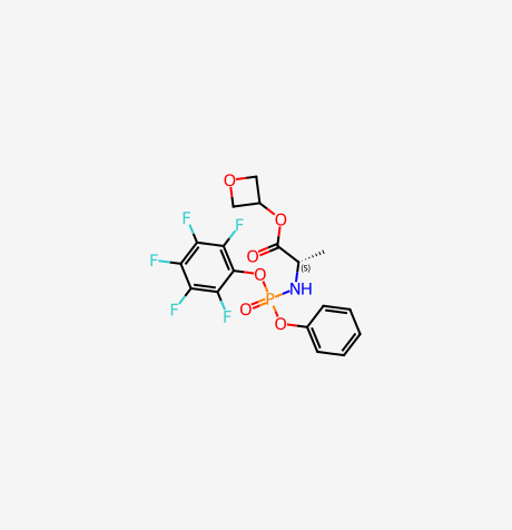 C[C@H](NP(=O)(Oc1ccccc1)Oc1c(F)c(F)c(F)c(F)c1F)C(=O)OC1COC1